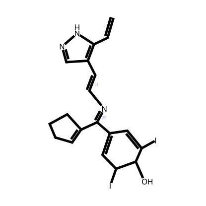 C=Cc1[nH]ncc1/C=C/N=C(/C1=CC(I)C(O)C(I)=C1)C1=CCCC1